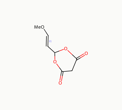 CO/C=C/C1OC(=O)CC(=O)O1